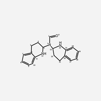 O=[C]N(C1CCc2ccccc2N1)C1CCc2ccccc2N1